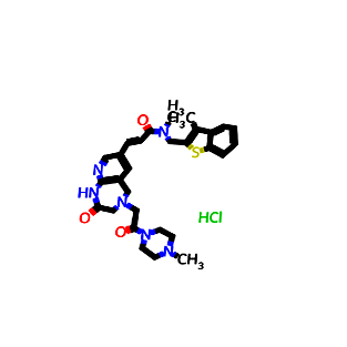 Cc1c(CN(C)C(=O)C=Cc2cnc3c(c2)CN(CC(=O)N2CCN(C)CC2)CC(=O)N3)sc2ccccc12.Cl